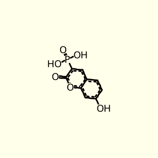 O=c1oc2cc(O)ccc2cc1P(=O)(O)O